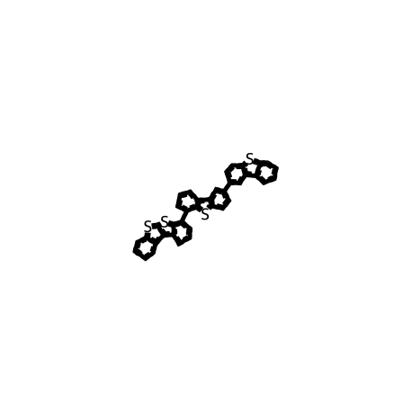 c1ccc2c(c1)sc1ccc(-c3ccc4sc5c(-c6cccc7c6sc6sc8ccccc8c67)cccc5c4c3)cc12